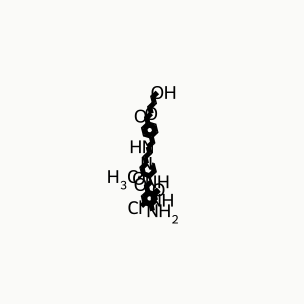 CO[C@H]1CN(CCNCc2ccc(C(=O)OCCCO)cc2)CC[C@H]1NC(=O)c1cc(Cl)c(N)[nH]c1=O